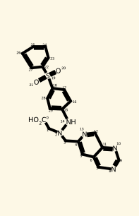 O=C(O)CN(Cc1cc2cncnc2cn1)Nc1ccc(S(=O)(=O)c2ccccc2)cc1